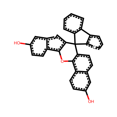 Oc1ccc2c3c(ccc2c1)C1(c2ccccc2-c2ccccc21)c1ccc2cc(O)ccc2c1O3